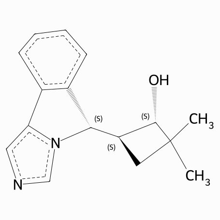 CC1(C)C[C@@H]([C@H]2c3ccccc3-c3cncn32)[C@@H]1O